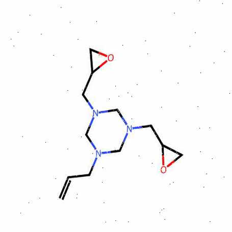 C=CCN1CN(CC2CO2)CN(CC2CO2)C1